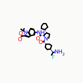 CC1(C)OC(=O)c2cc3cc(NC(=O)[C@@H]4[C@H](C5CCCCC5)CCN4C(=O)[C@H]4CC[C@H](C(N)CF)CC4)ccc3n21